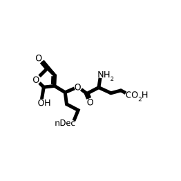 CCCCCCCCCCCCC(OC(=O)C(N)CCC(=O)O)C1=CC(=O)OC1O